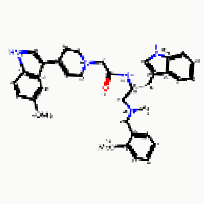 COc1ccc2[nH]cc(C3=CCN(CC(=O)N[C@H](Cc4c[nH]c5ccccc45)CN(Cc4ccccc4OC)C(C)=O)CC3)c2c1